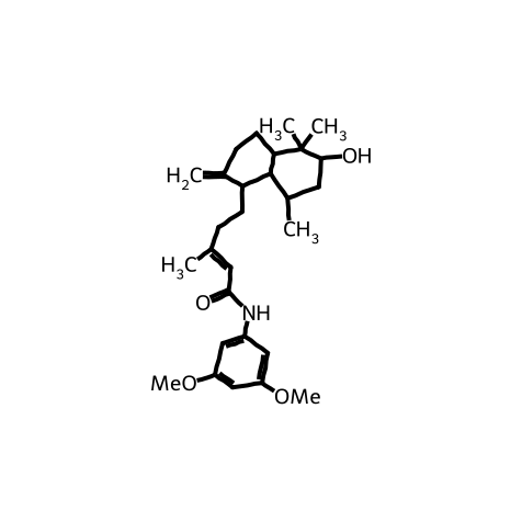 C=C1CCC2C(C(C)CC(O)C2(C)C)C1CCC(C)=CC(=O)Nc1cc(OC)cc(OC)c1